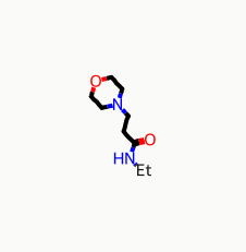 CCNC(=O)CCN1CCOCC1